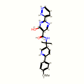 COc1ccc(-c2ccc(C(C)(C)NC(=O)c3cnc(-c4cccnn4)nc3O)cn2)cc1